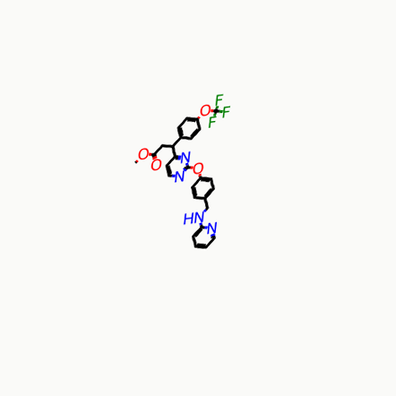 COC(=O)CC(c1ccc(OC(F)(F)F)cc1)c1ccnc(Oc2ccc(CNc3ccccn3)cc2)n1